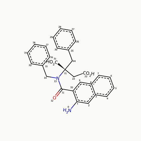 Nc1cc2ccccc2cc1C(=O)N(Cc1ccccc1)[C@@](CC(=O)O)(Cc1ccccc1)C(=O)O